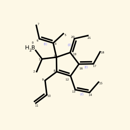 BC(C)C1(/C(C)=C/C)C(CC=C)=C(/C=C\C)C(=C/C)/C1=C\C